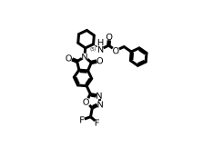 O=C(N[C@H]1CCCCC1N1C(=O)c2ccc(-c3nnc(C(F)F)o3)cc2C1=O)OCc1ccccc1